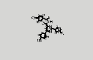 CC(NC(=O)c1cc(-c2ccc(Cl)cc2)nc(-c2cnn(C)c2)n1)c1ccc(Cl)c(F)c1